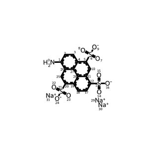 Nc1ccc2c(S(=O)(=O)[O-])cc3c(S(=O)(=O)[O-])ccc4c(S(=O)(=O)[O-])cc1c2c43.[Na+].[Na+].[Na+]